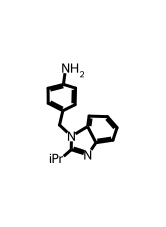 CC(C)c1nc2ccccc2n1Cc1ccc(N)cc1